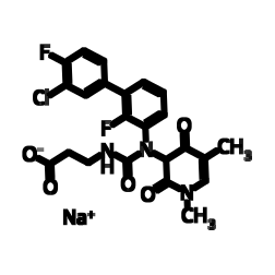 CC1=CN(C)C(=O)C(N(C(=O)NCCC(=O)[O-])c2cccc(-c3ccc(F)c(Cl)c3)c2F)C1=O.[Na+]